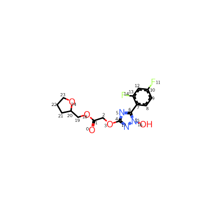 O=C(COc1nc(-c2ccc(F)cc2F)n(O)n1)OCC1CCCO1